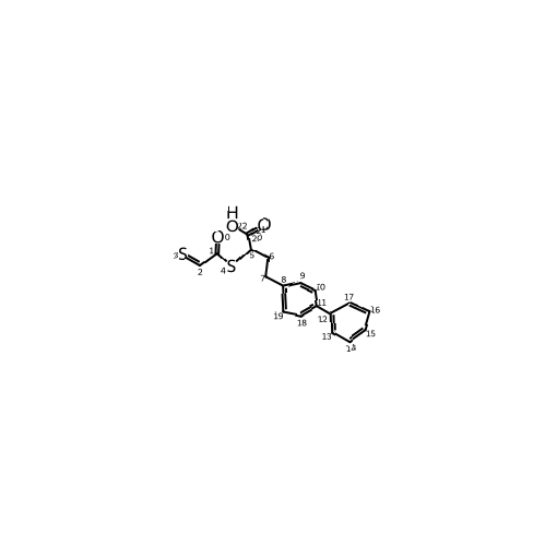 O=C(C=S)SC(CCc1ccc(-c2ccccc2)cc1)C(=O)O